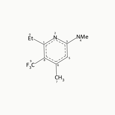 CCc1nc(NC)cc(C)c1C(F)(F)F